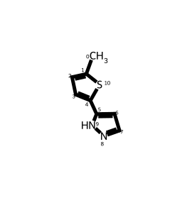 Cc1ccc(-c2ccn[nH]2)s1